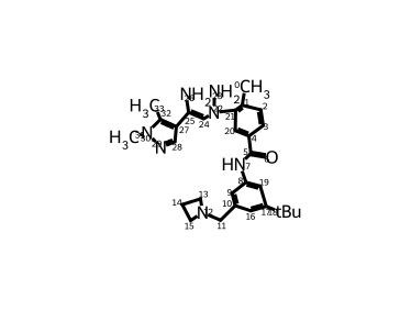 Cc1ccc(C(=O)Nc2cc(CN3CCC3)cc(C(C)(C)C)c2)cc1N(N)/C=C(\N)c1cnn(C)c1C